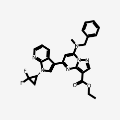 CCOC(=O)c1cnn2c(N(C)Cc3ccccc3)cc(-c3cn([C@@H]4CC4(F)F)c4ncccc34)nc12